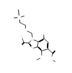 COC(=O)c1cc(Cl)c2c(nc(C(N)=O)n2COCC[Si](C)(C)C)c1OC